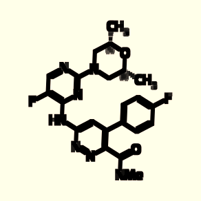 CNC(=O)c1nnc(Nc2nc(N3C[C@@H](C)O[C@@H](C)C3)ncc2F)cc1-c1ccc(F)cc1